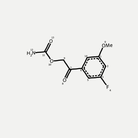 COc1cc(F)cc(C(=O)COC(N)=O)c1